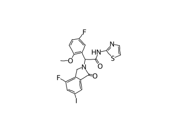 COc1ccc(F)cc1C(C(=O)Nc1nccs1)N1Cc2c(F)cc(I)cc2C1=O